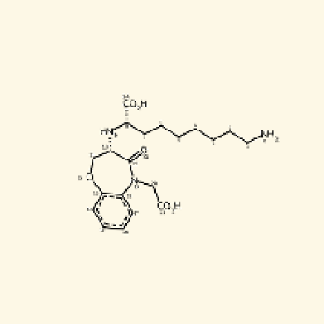 NCCCCCCC[C@H](N[C@H]1COc2ccccc2N(CC(=O)O)C1=O)C(=O)O